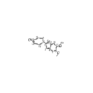 COc1cc2cc(-c3ccc(Cl)cc3)[se]c2cc1OC